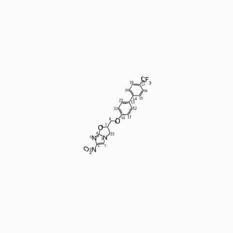 O=[N+]([O-])c1cn2c(n1)OC(COc1ccc(-c3ccc(C(F)(F)F)cc3)cc1)C2